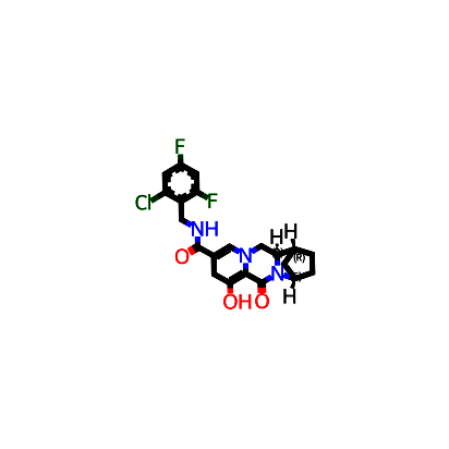 O=C(NCc1c(F)cc(F)cc1Cl)C1=CN2C[C@H]3[C@@H]4CC[C@@H](C4)N3C(=O)C2=C(O)C1